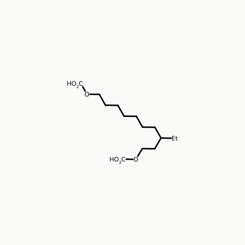 CCC(CCCCCCCOC(=O)O)CCOC(=O)O